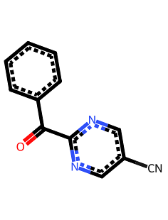 N#Cc1cnc(C(=O)c2ccccc2)nc1